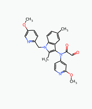 COc1ccc(Cn2c(C)c(N(C(=O)C=O)c3ccnc(OC)c3)c3cc(C)ccc32)nc1